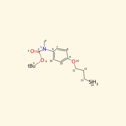 CN(C(=O)OC(C)(C)C)c1ccc(OCCC[SiH3])cc1